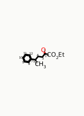 CCOC(=O)C(=O)CCC(C)c1ccccc1